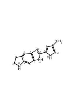 Cc1cc(-c2nc3cc4c(cc3[nH]2)NCC4)[nH]n1